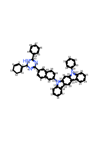 C1=CC(C2N=C(c3ccc4cc(-n5c6ccccc6c6cc7c8ccccc8n(-c8ccccc8)c7cc65)ccc4c3)N=C(c3ccccc3)N2)=CCC1